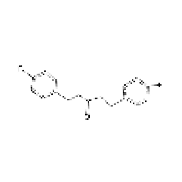 O=C(CCc1ccc(F)cc1)CCc1ccc(F)cc1